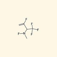 C=C(F)C(N(C)F)C(F)(F)F